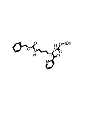 CC(C)(C)OC(=O)N[C@@H](CCCCNC(=O)OCc1ccccc1)C(=O)c1ccccn1